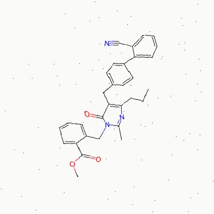 CCCc1nc(C)n(Cc2ccccc2C(=O)OC)c(=O)c1Cc1ccc(-c2ccccc2C#N)cc1